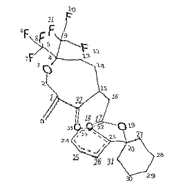 C=C1COC(C(F)(F)F)(C(F)(F)F)CCC(CC(=O)OC2(c3ccccc3)CCCCC2)C1=O